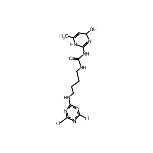 CC1=CC(O)N=C(NC(=O)NCCCCNc2nc(Cl)nc(Cl)n2)N1